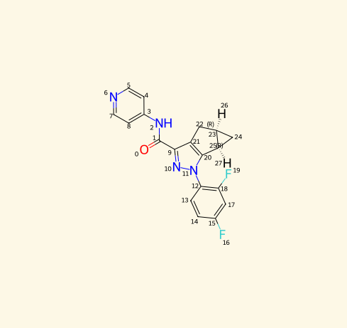 O=C(Nc1ccncc1)c1nn(-c2ccc(F)cc2F)c2c1C[C@H]1C[C@@H]21